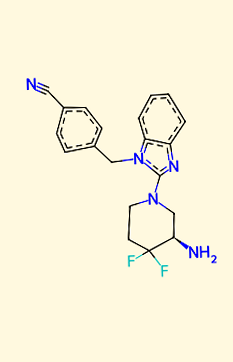 N#Cc1ccc(Cn2c(N3CCC(F)(F)[C@H](N)C3)nc3ccccc32)cc1